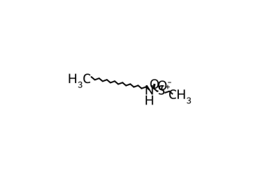 CCCCCCCCCCCCCCCCNC(=O)C[S+]([O-])CCC